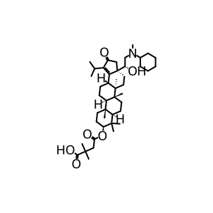 CC(C)C1=C2[C@H]3CC[C@@H]4[C@@]5(C)CC[C@H](OC(=O)CC(C)(C)C(=O)O)C(C)(C)[C@@H]5CC[C@@]4(C)[C@]3(C)CC[C@@]2([C@@H](O)CN(C)C2CCCCC2)CC1=O